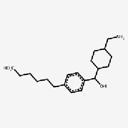 NCC1CCC(C(O)c2ccc(CCCCCC(=O)O)cc2)CC1